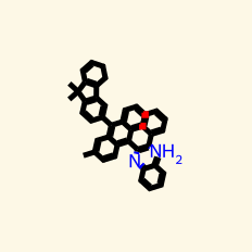 C=C1C=CC=C/C1=N/C(=C(\N)c1ccccc1)c1c2ccccc2c(-c2ccc3c(c2)C2=C(C=CCC2)C3(C)C)c2cc(C)ccc12